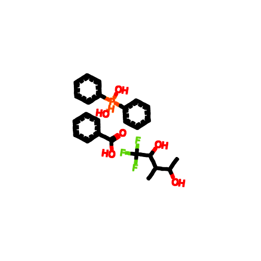 CC(O)C(C)C(O)C(F)(F)F.O=C(O)c1ccccc1.O[PH](O)(c1ccccc1)c1ccccc1